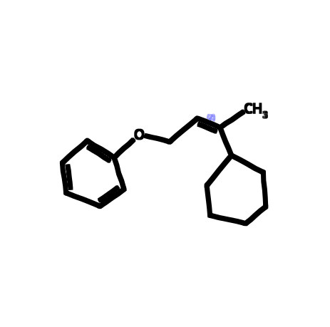 C/C(=C/COc1ccccc1)C1CCCCC1